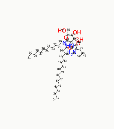 CCCCCCCCCCCCCCCCCC(=O)N(CCCCCCCCCCCC)[C@@H]1O[C@H](CO)[C@@H](O)[C@H](O)[C@H]1NC(=O)[C@@H](N)CC(C)C